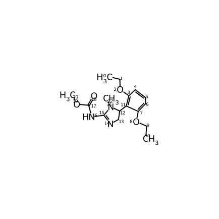 CCOc1cccc(OCC)c1C1CN=C(NC(=O)OC)N1C